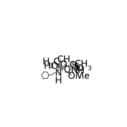 COc1cc2c(cc1NS(C)(=O)=O)OC(C)(C)[C@H](O)[C@H]2NCCC1CCCCC1